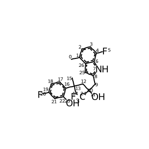 Cc1ccc(F)c2[nH]c(CC(O)(CC(C)(C)c3ccc(F)cc3O)C(F)(F)F)cc12